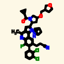 Cc1nc2c(F)c(-c3cccc(Cl)c3Cl)c(CCC#N)cc2c2c1cc(C1CC(OCC3CCOC3)CN1C(=O)C1CC1)n2C1C2CNC1C2